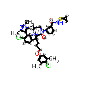 Cc1cc(OCCCc2c3n(c4c(-c5c(C)nn(C)c5C)c(Cl)ccc24)CCCN(c2cccc(C(=O)NSC4CC4)c2)C3=O)cc(C)c1Cl